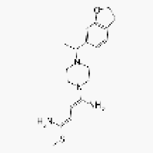 CS/C(N)=C/C=C(\N)N1CCN(C(C)c2ccc3c(c2)OCC3)CC1